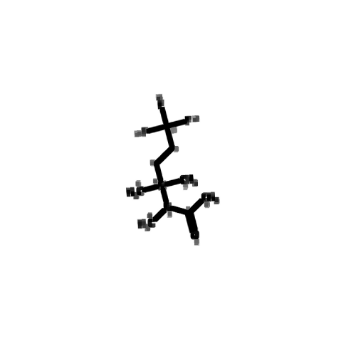 CC(=O)N(C)[Si](C)(C)CCC(F)(F)F